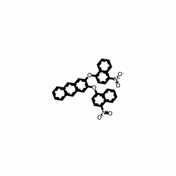 O=[N+]([O-])c1ccc(Oc2cc3cc4ccccc4cc3cc2Oc2ccc([N+](=O)[O-])c3ccccc23)c2ccccc12